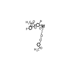 CNC(=O)c1c(-c2ccc(F)cc2)oc2cc(NS(=O)(=O)CCCCOCCOCc3cccc(C(C)=O)c3)c(C3CC3)cc12